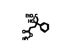 CCCOC(=O)CCC(O)(CC(=O)OCC)c1ccccc1